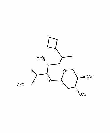 CC(=O)OC[C@@H](C)[C@@H](OC1C[C@@H](OC(C)=O)[C@H](OC(C)=O)CO1)[C@@H](CC(C)C1CCC1)OC(C)=O